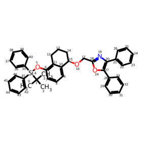 CC(C)(C)[Si](Oc1cccc2c1CCC[C@H]2OCc1nc(-c2ccccc2)c(-c2ccccc2)o1)(c1ccccc1)c1ccccc1